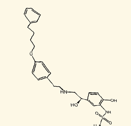 CS(=O)(=O)Nc1cc([C@@H](O)CNCCc2ccc(OCCCCc3ccccc3)cc2)ccc1O